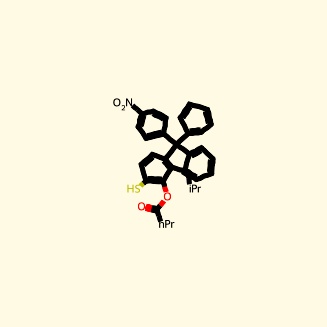 CCCC(=O)Oc1c(S)ccc(C(c2ccccc2)(c2ccccc2)c2ccc([N+](=O)[O-])cc2)c1CC(C)C